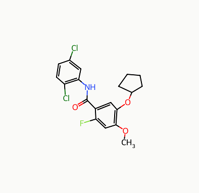 COc1cc(F)c(C(=O)Nc2cc(Cl)ccc2Cl)cc1OC1CCCC1